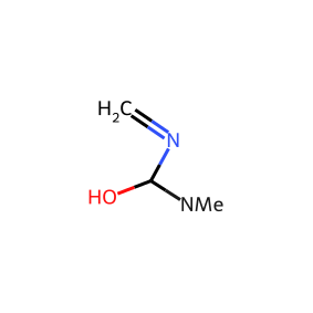 C=NC(O)NC